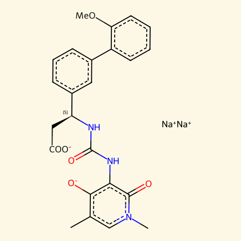 COc1ccccc1-c1cccc([C@H](CC(=O)[O-])NC(=O)Nc2c([O-])c(C)cn(C)c2=O)c1.[Na+].[Na+]